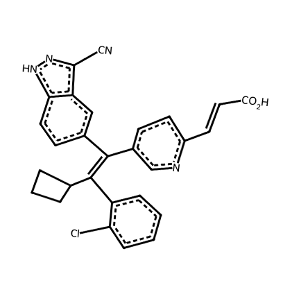 N#Cc1n[nH]c2ccc(C(=C(c3ccccc3Cl)C3CCC3)c3ccc(C=CC(=O)O)nc3)cc12